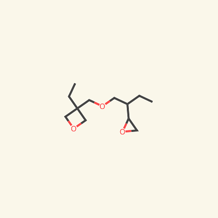 CCC(COCC1(CC)COC1)C1CO1